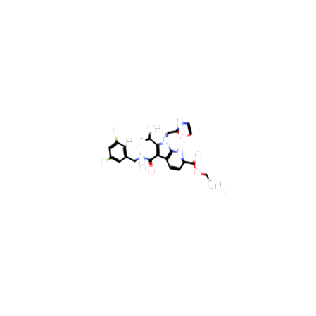 CCOC(=O)c1ccc2c(C(=O)NCc3cc(F)cc(F)c3)c(C(C)C)n(Cc3ncco3)c2n1